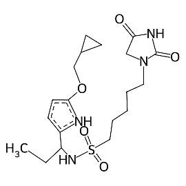 CCC(NS(=O)(=O)CCCCCN1CC(=O)NC1=O)c1ccc(OCC2CC2)[nH]1